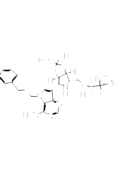 CC1(C)O[C@@H]2[C@H](O1)[C@@H](CO[Si](C)(C)C(C)(C)C)N[C@H]2c1cn(COCc2ccccc2)c2c(N)ncnc12